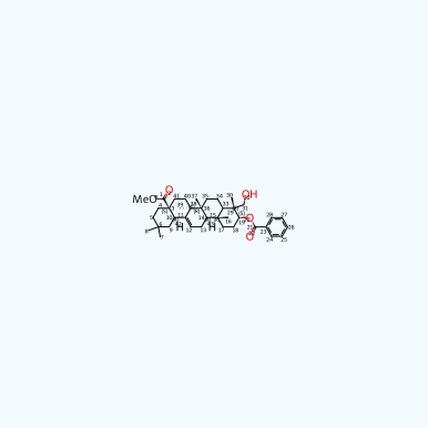 COC(=O)[C@]12CCC(C)(C)C[C@@H]1C1=CC[C@@H]3[C@@]4(C)CC[C@H](OC(=O)c5ccccc5)[C@@](C)(CO)C4CC[C@@]3(C)[C@]1(C)CC2